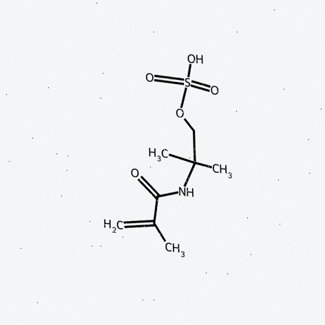 C=C(C)C(=O)NC(C)(C)COS(=O)(=O)O